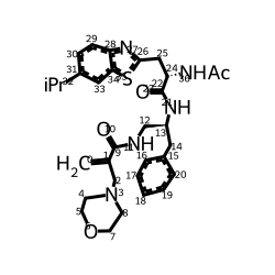 C=C(CN1CCOCC1)C(=O)NC[C@H](Cc1ccccc1)NC(=O)[C@H](Cc1nc2ccc(C(C)C)cc2s1)NC(C)=O